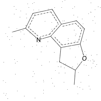 Cc1ccc2ccc3c(c2n1)CC(C)O3